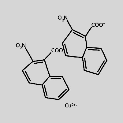 O=C([O-])c1c([N+](=O)[O-])ccc2ccccc12.O=C([O-])c1c([N+](=O)[O-])ccc2ccccc12.[Cu+2]